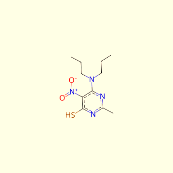 CCCN(CCC)c1nc(C)nc(S)c1[N+](=O)[O-]